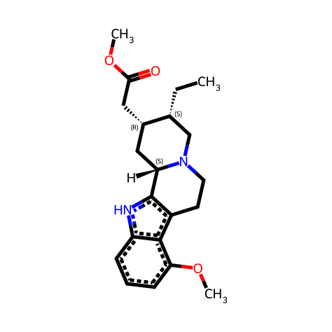 CC[C@@H]1CN2CCc3c([nH]c4cccc(OC)c34)[C@@H]2C[C@@H]1CC(=O)OC